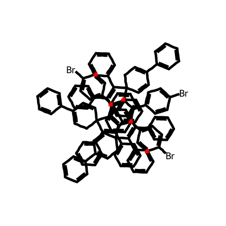 Brc1ccc(-c2c(-c3ccc(Br)cc3)c(C3(C(=C(c4ccccc4)c4ccccc4)c4ccccc4)C=CC(c4ccccc4)=CC3)c(C3(C(=C(c4ccccc4)c4ccccc4)c4ccccc4)C=CC(c4ccccc4)=CC3)c(-c3ccc(Br)cc3)c2C2(C(=C(c3ccccc3)c3ccccc3)c3ccccc3)C=CC(c3ccccc3)=CC2)cc1